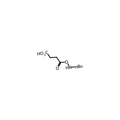 [CH2]CCCNOC(=O)CCC(=O)O